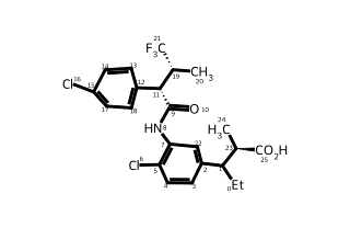 CCC(c1ccc(Cl)c(NC(=O)[C@H](c2ccc(Cl)cc2)[C@@H](C)C(F)(F)F)c1)[C@@H](C)C(=O)O